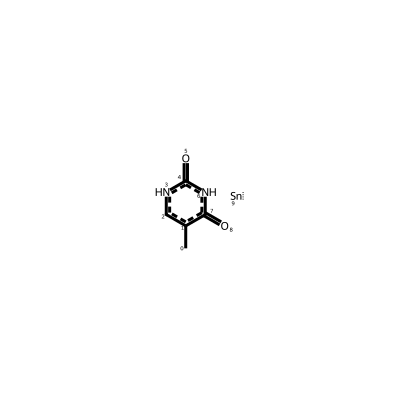 Cc1c[nH]c(=O)[nH]c1=O.[Sn]